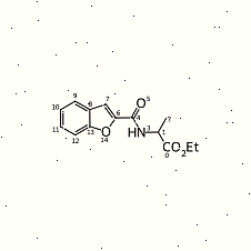 CCOC(=O)C(C)NC(=O)c1cc2ccccc2o1